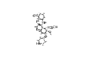 COc1cc2c(Nc3cccc(Cl)c3F)ncnc2cc1OC1CCNCC1.Cl.Cl